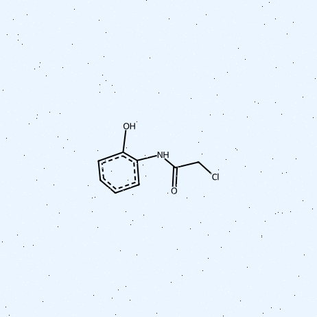 O=C(CCl)Nc1ccccc1O